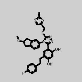 COC1Cc2ccc(-n3c(SCc4csc(C)n4)nnc3-c3cc(CCc4ccc(F)cc4)c(O)cc3O)cc2C1